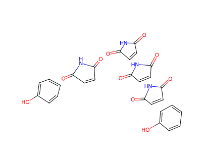 O=C1C=CC(=O)N1.O=C1C=CC(=O)N1.O=C1C=CC(=O)N1.O=C1C=CC(=O)N1.Oc1ccccc1.Oc1ccccc1